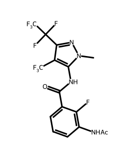 CC(=O)Nc1cccc(C(=O)Nc2c(C(F)(F)F)c(C(F)(F)C(F)(F)F)nn2C)c1F